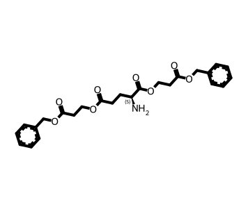 N[C@@H](CCC(=O)OCCC(=O)OCc1ccccc1)C(=O)OCCC(=O)OCc1ccccc1